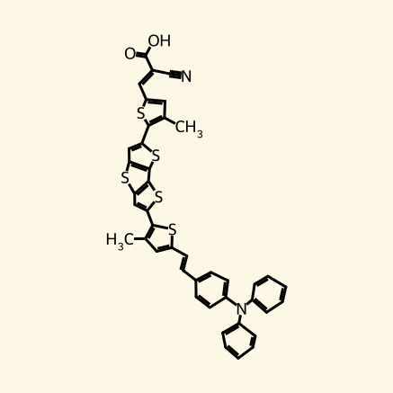 Cc1cc(/C=C/c2ccc(N(c3ccccc3)c3ccccc3)cc2)sc1-c1cc2sc3cc(-c4sc(/C=C(\C#N)C(=O)O)cc4C)sc3c2s1